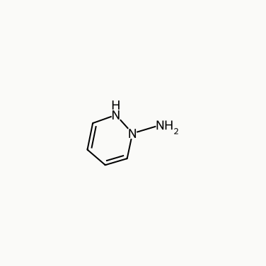 NN1C=CC=CN1